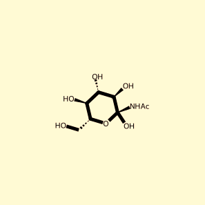 CC(=O)N[C@@]1(O)O[C@H](CO)[C@@H](O)[C@H](O)[C@H]1O